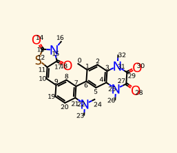 Cc1cc2c(cc1-c1cc(C=C3SC(=O)N(C)C3=O)ccc1N(C)C)n(C)c(=O)c(=O)n2C